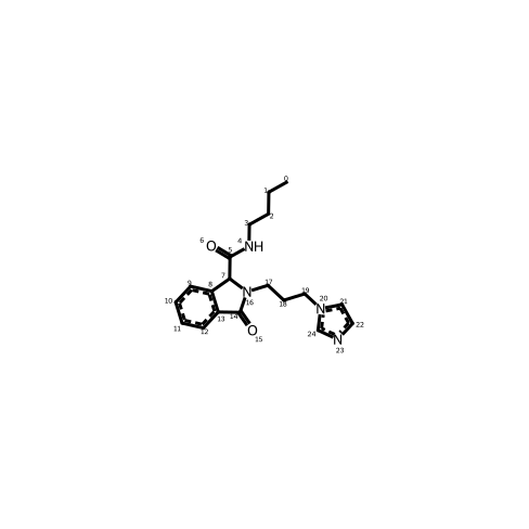 CCCCNC(=O)C1c2ccccc2C(=O)N1CCCn1ccnc1